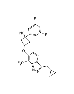 N#C[C@]1(c2cc(F)cc(F)c2)C[C@@H](Oc2ccn3c(CC4CC4)nnc3c2C(F)(F)F)C1